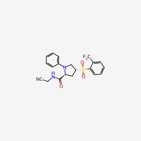 N#CCNC(=O)[C@@H]1C[C@@H](S(=O)(=O)c2ccccc2C(F)(F)F)CN1c1ccccc1